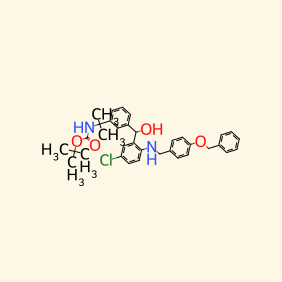 CC(C)(C)OC(=O)NC(C)(C)c1cccc(C(O)c2cc(Cl)ccc2NCc2ccc(OCc3ccccc3)cc2)c1